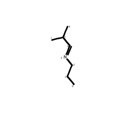 CCC/N=C/C(C)C